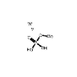 O=P(O)(O)[O][Mo].[V].[W]